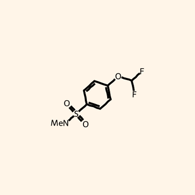 CNS(=O)(=O)c1ccc(OC(F)F)cc1